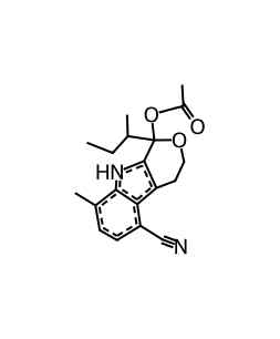 CCC(C)C1(OC(C)=O)OCCc2c1[nH]c1c(C)ccc(C#N)c21